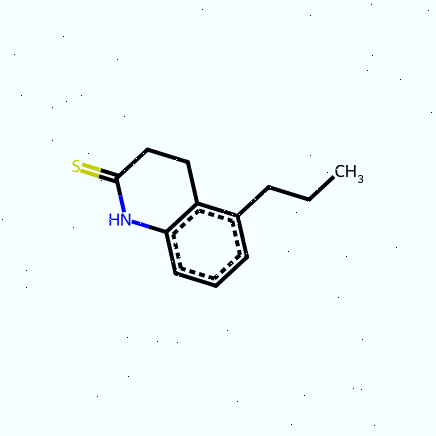 CCCc1cccc2c1CCC(=S)N2